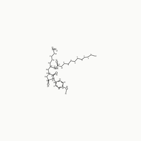 CCCCCCCCCCCC(=O)NC(CCCCN)CN1CC(=O)N(c2ccc(OC)cc2)C1=O